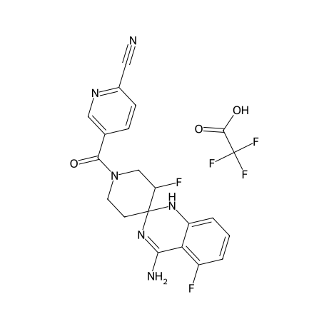 N#Cc1ccc(C(=O)N2CCC3(N=C(N)c4c(F)cccc4N3)C(F)C2)cn1.O=C(O)C(F)(F)F